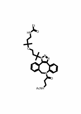 CCC(=O)NCCC(C)(C)OCCC(C)(C)n1nnc2c1-c1ccccc1CN(C(=O)CCNC(C)=O)c1ccccc1-2